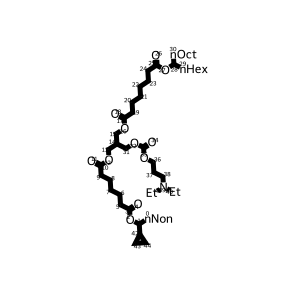 CCCCCCCCCC(OC(=O)CCCCCC(=O)OCC(COC(=O)CCCCCCC(=O)OC(CCCCCC)CCCCCCCC)COC(=O)OCCCN(CC)CC)C1CC1